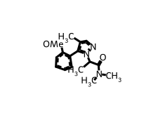 COc1ccccc1-c1c(C)cnn1C(C)C(=O)N(C)C